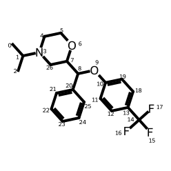 CC(C)N1CCOC(C(Oc2ccc(C(F)(F)F)cc2)c2ccccc2)C1